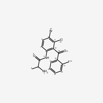 CC(N)C(=O)Nc1ccc(Br)c(Cl)c1C(=O)c1ccccc1F